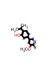 COc1cc(-c2ccc(C(C)C)c(O)c2)cnc1F